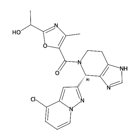 Cc1nc(C(C)O)oc1C(=O)N1CCc2[nH]cnc2[C@@H]1c1cc2c(Cl)cccn2n1